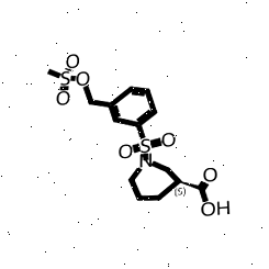 CS(=O)(=O)OCc1cccc(S(=O)(=O)N2CCC[C@H](C(=O)O)C2)c1